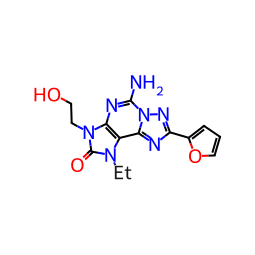 CCn1c(=O)n(CCO)c2nc(N)n3nc(-c4ccco4)nc3c21